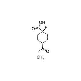 CCC(=O)[C@H]1CC[C@](F)(C(=O)O)CC1